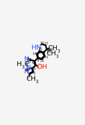 Cc1cc(C(O)=C(C#N)c2ccc3c(c2)NCCC3(C)C)n(C)n1